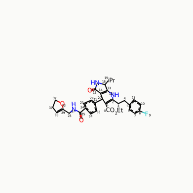 CCOC(=O)C1=C(CCc2ccc(F)cc2)NC2=C(C(=O)NC2C(C)C)C1c1ccc(C(=O)NCC2=CCCO2)cc1